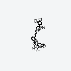 CNC(=O)C(CCC=O)N1Cc2c(CCCCN3CCC(C#N)(c4ccc(Cl)c(Cl)c4)CC3)cccc2C1=O